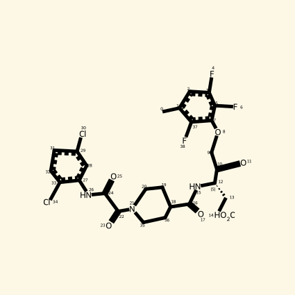 Cc1cc(F)c(F)c(OCC(=O)[C@H](CC(=O)O)NC(=O)C2CCN(C(=O)C(=O)Nc3cc(Cl)ccc3Cl)CC2)c1F